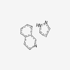 c1ccc2cnccc2c1.c1cn[nH]c1